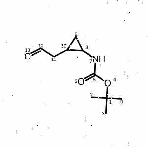 CC(C)(C)OC(=O)NC1CC1CC=O